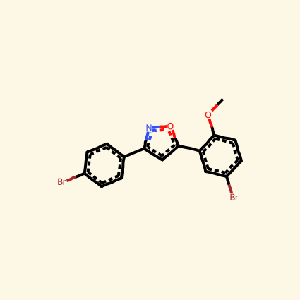 COc1ccc(Br)cc1-c1cc(-c2ccc(Br)cc2)no1